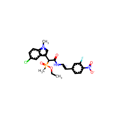 CCOP(C)(=O)C(C(=O)N/C=C/c1ccc([N+](=O)[O-])c(F)c1)c1cn(C)c2ccc(Cl)cc12